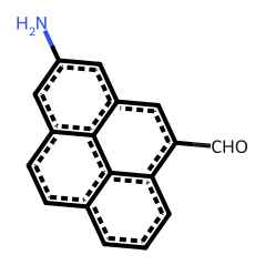 Nc1cc2ccc3cccc4c(C=O)cc(c1)c2c34